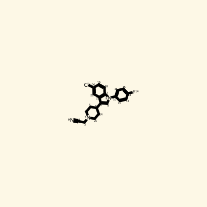 N#CCN1CCC(c2cn(-c3ccc(F)cc3)c3ccc(Cl)cc23)CC1